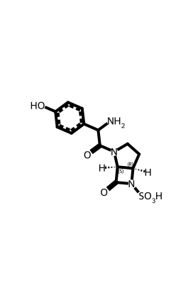 NC(C(=O)N1CC[C@@H]2[C@H]1C(=O)N2S(=O)(=O)O)c1ccc(O)cc1